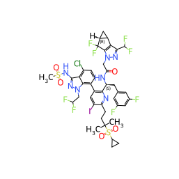 CC(C)(CCc1nc([C@H](Cc2cc(F)cc(F)c2)NC(=O)Cn2nc(C(F)F)c3c2C(F)(F)[C@@H]2CC32)c(-c2ccc(Cl)c3c(NS(C)(=O)=O)nn(CC(F)F)c23)cc1I)S(=O)(=O)C1CC1